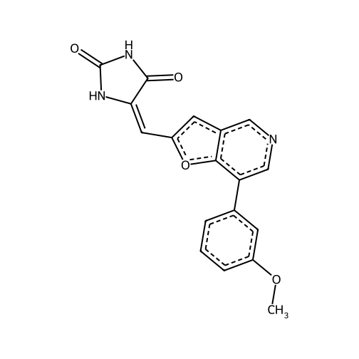 COc1cccc(-c2cncc3cc(/C=C4/NC(=O)NC4=O)oc23)c1